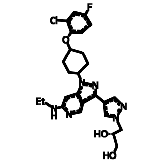 CCNc1cc2c(cn1)c(-c1cnn(C[C@@H](O)CO)c1)nn2C1CCC(Oc2ccc(F)cc2Cl)CC1